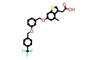 Cc1cc(OCc2cccc(OCc3ccc(C(F)(F)F)cc3)c2)cc2scc(CC(=O)O)c12